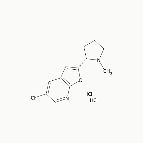 CN1CCC[C@H]1c1cc2cc(Cl)cnc2o1.Cl.Cl